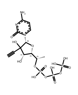 C#CC1(O)[C@@H](O)[C@@H]([C@H](C)OP(=O)(O)OP(=O)(O)OP(=O)(O)O)O[C@H]1n1ccc(N)nc1=O